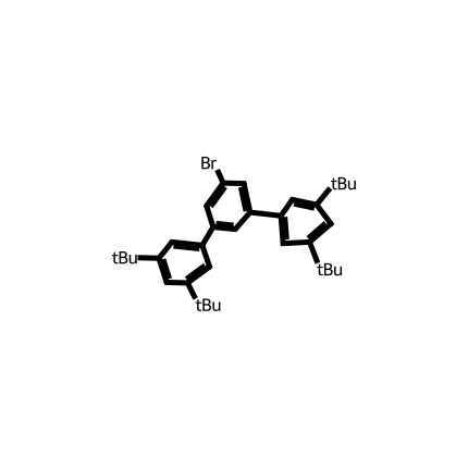 CC(C)(C)c1cc(-c2cc(Br)cc(-c3cc(C(C)(C)C)cc(C(C)(C)C)c3)c2)cc(C(C)(C)C)c1